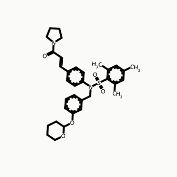 Cc1cc(C)c(S(=O)(=O)N(Cc2cccc(OC3CCCCO3)c2)c2ccc(C=CC(=O)N3CCCC3)cc2)c(C)c1